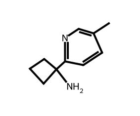 Cc1ccc(C2(N)CCC2)nc1